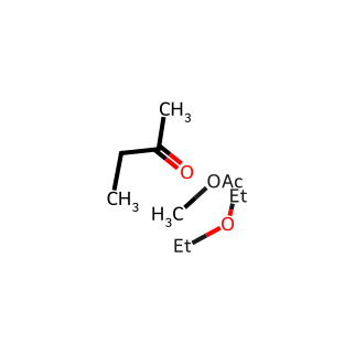 CCC(C)=O.CCOCC.COC(C)=O